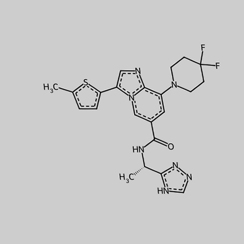 Cc1ccc(-c2cnc3c(N4CCC(F)(F)CC4)cc(C(=O)N[C@@H](C)c4nnc[nH]4)cn23)s1